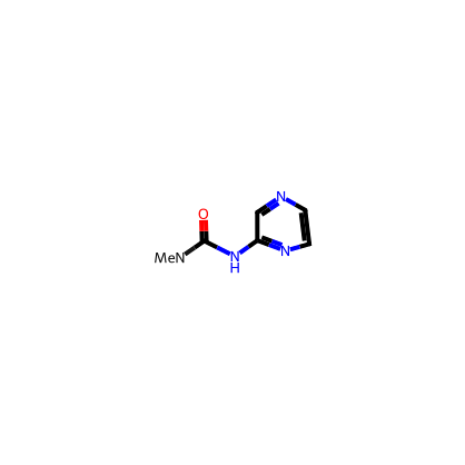 CNC(=O)Nc1cnccn1